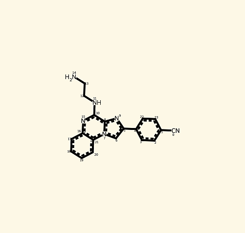 N#Cc1ccc(-c2cn3c(n2)c(NCCN)nc2ccccc23)cc1